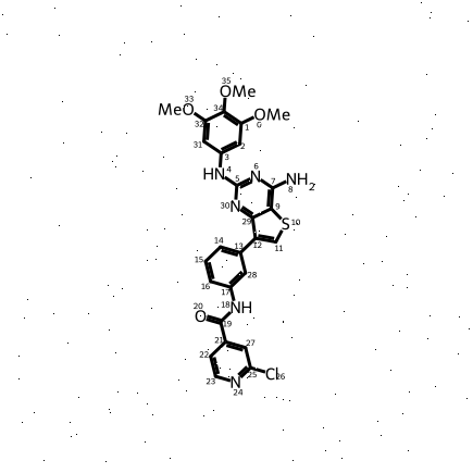 COc1cc(Nc2nc(N)c3scc(-c4cccc(NC(=O)c5ccnc(Cl)c5)c4)c3n2)cc(OC)c1OC